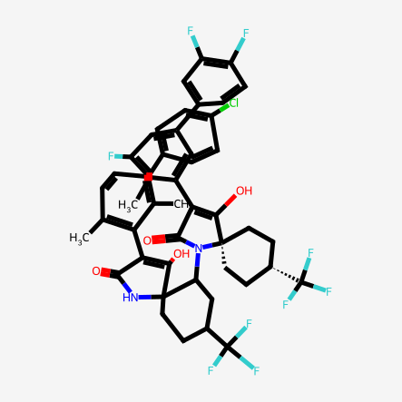 Cc1ccc(-c2ccc(Cl)cc2)c(C)c1C1=C(O)C2(CCC(C(F)(F)F)CC2N2C(=O)C(c3cc(-c4ccc(F)c(F)c4)cc(F)c3C)=C(O)[C@]23CC[C@@H](C(F)(F)F)CC3)NC1=O